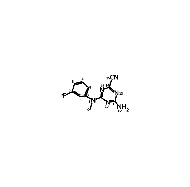 CN(c1cccc(F)c1)c1nc(N)nc(C#N)n1